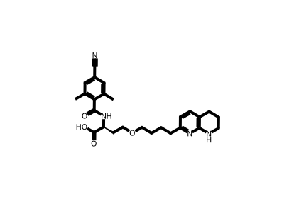 Cc1cc(C#N)cc(C)c1C(=O)N[C@@H](CCOCCCCc1ccc2c(n1)NCCC2)C(=O)O